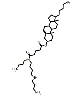 CC(C)CCCCC1CCC2C3CC=C4CC(OC(=O)CCCC(=O)N(CCCN)CCCCNCCCN)CCC4(C)C3CCC12C